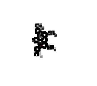 Cc1ccc2c(c1)c1cc(C)ccc1n2-c1cncc(-n2c3ccc(C)cc3c3cc(C)ccc32)c1-c1cccc(C#N)c1C#N